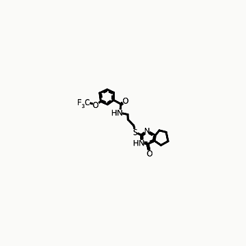 O=C(NCCCSc1nc2c(c(=O)[nH]1)CCCC2)c1cccc(OC(F)(F)F)c1